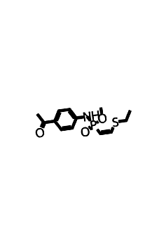 CCS/C=C\P(=O)(Nc1ccc(C(C)=O)cc1)OC